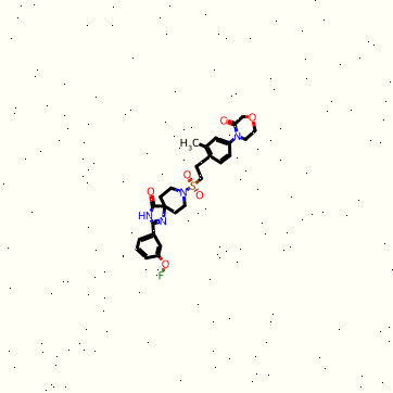 Cc1cc(N2CCOCC2=O)ccc1CCS(=O)(=O)N1CCC2(CC1)N=C(c1cccc(OF)c1)NC2=O